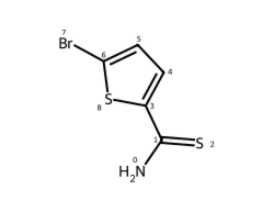 NC(=S)c1ccc(Br)s1